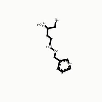 CC(C)CC(CCNOCc1ccccc1)C(=O)O